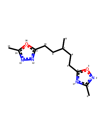 Cc1noc(CCC(C)CCc2nnc(C)o2)n1